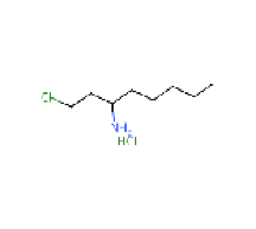 CCCCCC(N)CCCl.Cl